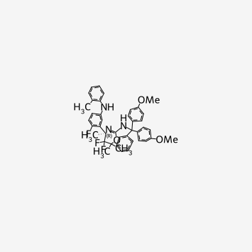 COc1ccc(C(NC2=N[C@](C)(c3cc(Nc4ccccc4C)ccc3F)C(F)(F)C(C)(C)O2)(c2ccccc2)c2ccc(OC)cc2)cc1